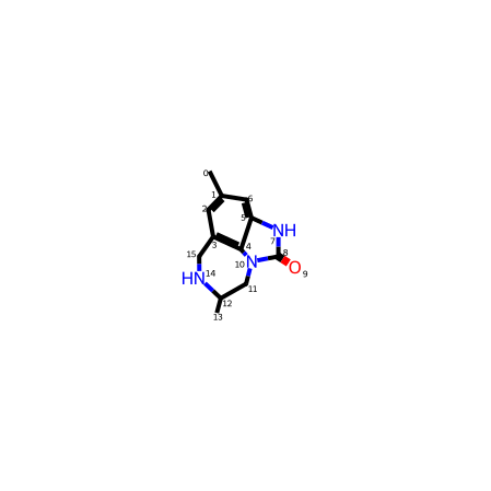 Cc1cc2c3c(c1)[nH]c(=O)n3CC(C)NC2